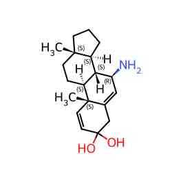 C[C@@]12CCC[C@H]1[C@@H]1[C@@H](N)C=C3CC(O)(O)C=C[C@]3(C)[C@H]1CC2